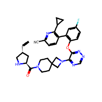 C=C[C@H]1CN[C@H](C(=O)N2CCC3(CC2)CN(c2ncnnc2Oc2ccc(F)cc2-c2ccc(C#N)nc2C2CC2)C3)C1